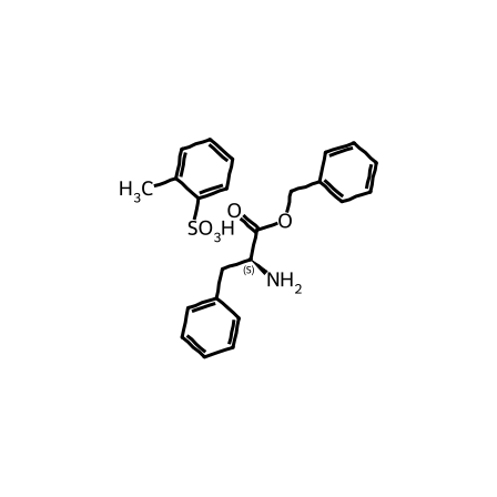 Cc1ccccc1S(=O)(=O)O.N[C@@H](Cc1ccccc1)C(=O)OCc1ccccc1